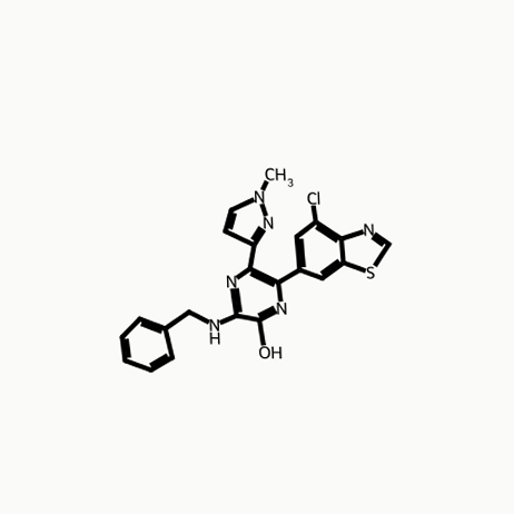 Cn1ccc(-c2nc(NCc3ccccc3)c(O)nc2-c2cc(Cl)c3ncsc3c2)n1